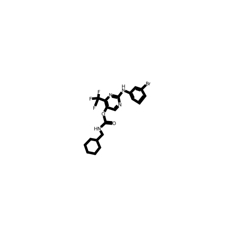 O=C(NCC1CCCCC1)Oc1cnc(Nc2cccc(Br)c2)nc1C(F)(F)F